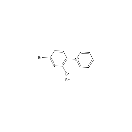 Brc1ccc(-[n+]2ccccc2)c(Br)n1.[Br-]